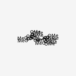 COc1cc(CC2c3c(cc(OC)c(OC)c3OC)CC[N+]2(C)CCCOC(=O)/C=C\C(=O)OCCC[N+]2(C)CCc3cc(OC)c(OC)c(OC)c3C2c2cc(OC)c(OC)c(OC)c2)cc(OC)c1OC